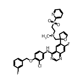 CN(CCS(=O)(=O)c1ccccn1)CC1(c2cc3c(Nc4ccc(OCc5cccc(F)c5)c(Cl)c4)ncnc3cc2F)CC=CO1